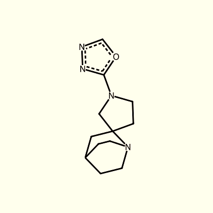 c1nnc(N2CCC3(CC4CCN3CC4)C2)o1